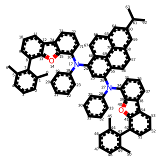 Cc1cccc(C)c1-c1cccc2c1oc1c(N(c3ccccc3)c3cc(N(c4ccccc4)c4cccc5c4oc4c(-c6c(C)cccc6C)cccc45)c4ccc5cc(C(C)C)cc6ccc3c4c65)cccc12